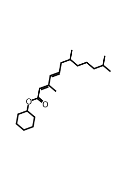 CC(/C=C/CC(C)CCCC(C)C)=C\C(=O)OC1CCCCC1